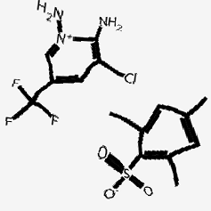 Cc1cc(C)c(S(=O)(=O)[O-])c(C)c1.Nc1c(Cl)cc(C(F)(F)F)c[n+]1N